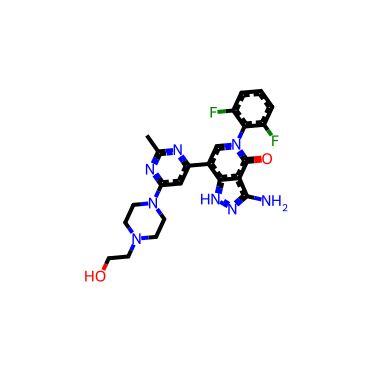 Cc1nc(-c2cn(-c3c(F)cccc3F)c(=O)c3c(N)n[nH]c23)cc(N2CCN(CCO)CC2)n1